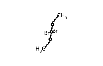 CCCCCCCCc1ccc(C#Cc2cc(Br)c(C#Cc3ccc(CCCCCCCC)cc3)cc2Br)cc1